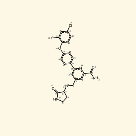 NC(=O)c1cc(CN[C@H]2CCNC2=O)nc(-c2ccc(Oc3ccc(Cl)cc3F)cc2)n1